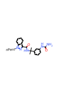 CCCCCn1nc(C(=O)NC(C)(C)c2cccc(NC(N)=O)c2)c2ccccc21